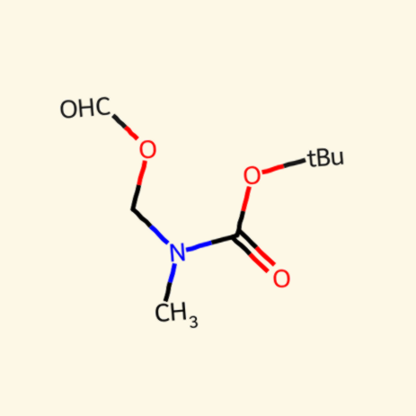 CN(COC=O)C(=O)OC(C)(C)C